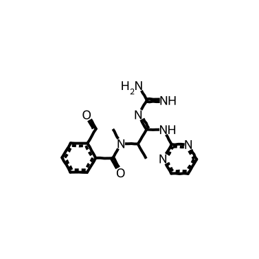 CC(/C(=N/C(=N)N)Nc1ncccn1)N(C)C(=O)c1ccccc1C=O